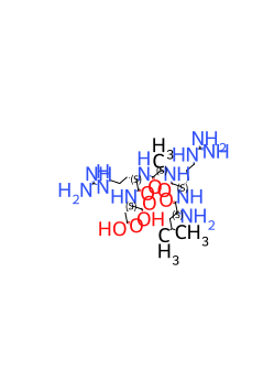 CC(C)C[C@H](N)C(=O)N[C@@H](CCCNC(=N)N)C(=O)N[C@@H](C)C(=O)N[C@@H](CCCNC(=N)N)C(=O)N[C@@H](CC(=O)O)C(=O)O